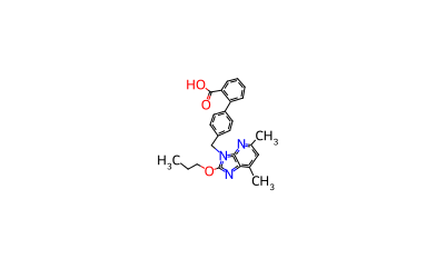 CCCOc1nc2c(C)cc(C)nc2n1Cc1ccc(-c2ccccc2C(=O)O)cc1